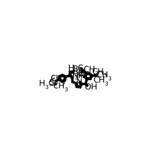 CC(C)(C)c1cc(C(O)c2ccc(Cc3[nH]c(Br)cc3-c3ccc([Si](C)(C)C)cc3)[nH]2)cc(C(C)(C)C)c1